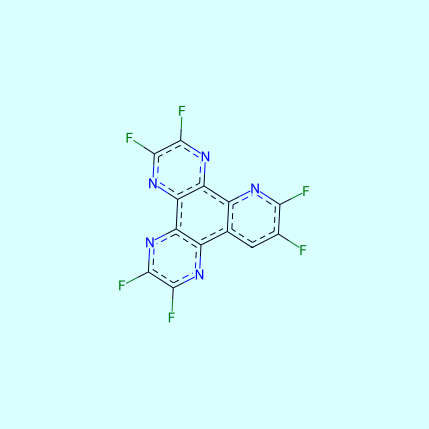 Fc1cc2c(nc1F)c1nc(F)c(F)nc1c1nc(F)c(F)nc21